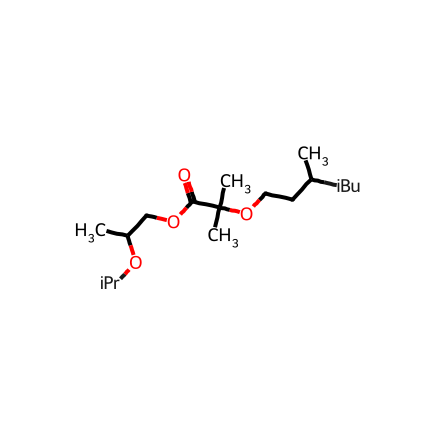 CCC(C)C(C)CCOC(C)(C)C(=O)OCC(C)OC(C)C